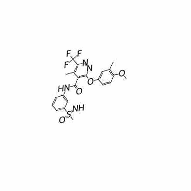 COc1ccc(Oc2nnc(C(F)(F)F)c(C)c2C(=O)Nc2cccc(S(C)(=N)=O)c2)cc1C